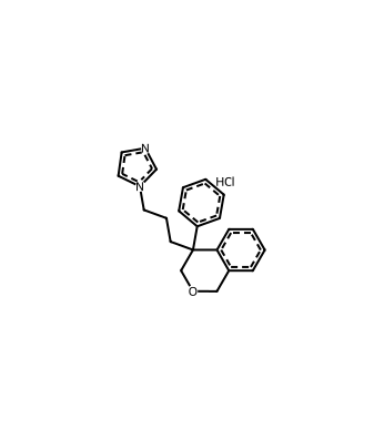 Cl.c1ccc(C2(CCCn3ccnc3)COCc3ccccc32)cc1